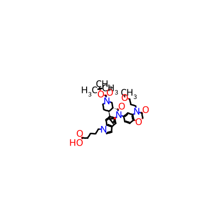 COCCCN1C(=O)COc2ccc(N(C(=O)[C@H]3CN(C(=O)OC(C)(C)C)CC[C@@H]3c3ccc4ccn(CCCCC(=O)O)c4c3)C3CC3)cc21